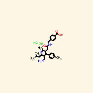 Cc1ccc(-c2c(CC(=O)NCc3ccc(C(=O)O)cc3)c(C)nc(CC(C)C)c2CN)cc1.Cl.Cl